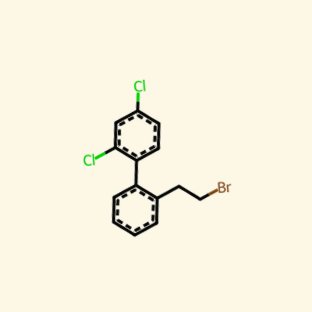 Clc1ccc(-c2ccccc2CCBr)c(Cl)c1